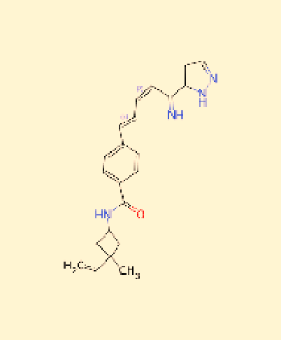 C=CC1(C)CC(NC(=O)c2ccc(/C=C/C=C\C(=N)c3ccn[nH]3)cc2)C1